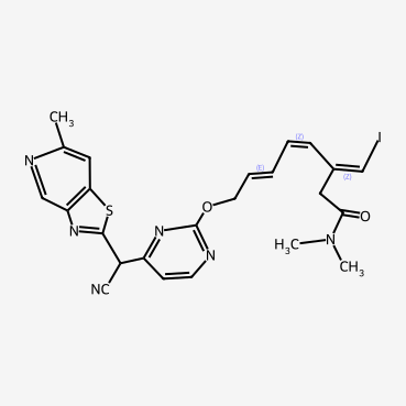 Cc1cc2sc(C(C#N)c3ccnc(OC/C=C/C=C\C(=C/I)CC(=O)N(C)C)n3)nc2cn1